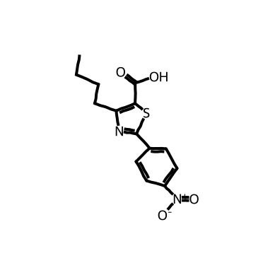 CCCCc1nc(-c2ccc([N+](=O)[O-])cc2)sc1C(=O)O